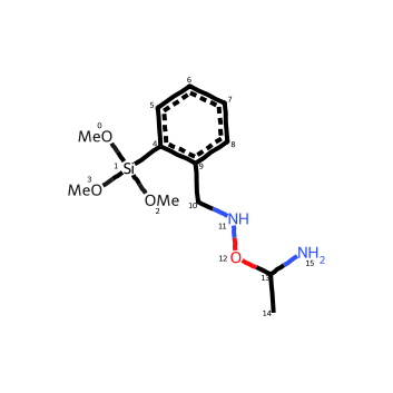 CO[Si](OC)(OC)c1ccccc1CNOC(C)N